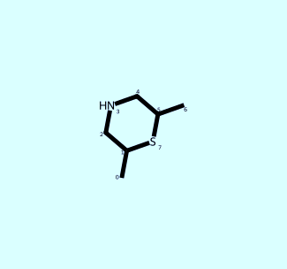 CC1CNCC(C)S1